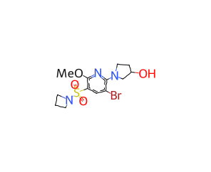 COc1nc(N2CCC(O)C2)c(Br)cc1S(=O)(=O)N1CCC1